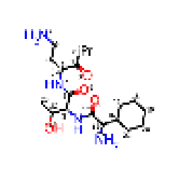 CC(C)C(=O)[C@H](CCN)NC(=O)[C@@H](NC(=O)[C@H](N)C1CCCCC1)C(C)O